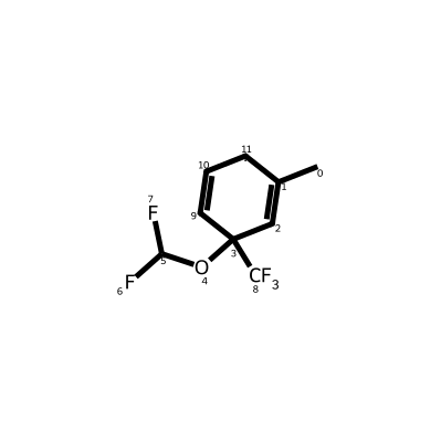 CC1=CC(OC(F)F)(C(F)(F)F)C=C[CH]1